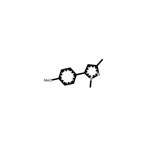 COc1ccc(-c2cc(C)nn2C)cc1